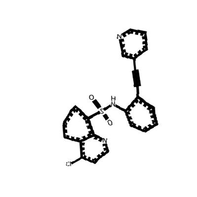 O=S(=O)(Nc1ccccc1C#Cc1cccnc1)c1cccc2c(Cl)ccnc12